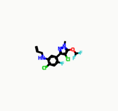 C=CCNc1cc(-c2nn(C)c(OC(F)F)c2Cl)c(F)cc1Cl